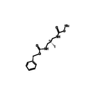 CC(C)(C)OC(=O)NC[C@H](I)CNC(=O)OCc1ccccc1